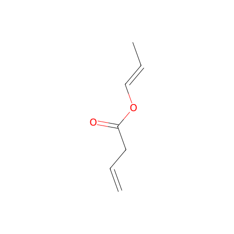 C=CCC(=O)OC=CC